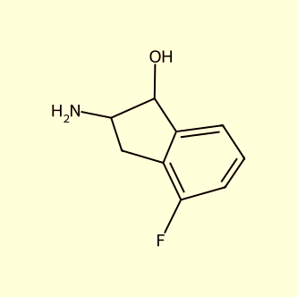 NC1Cc2c(F)cccc2C1O